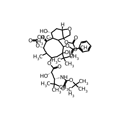 COC(=O)O[C@]12CO[C@H]1C[C@@H](O)[C@]1(C)C(=O)[C@@H](OC(C)=O)C(C)[C@H](OC(=O)[C@@H](O)[C@H](NC(=O)OC(C)(C)C)C(C)(C)C)C[C@@](O)(C(C)(C)C)[C@H](OC(=O)c3ccccc3)C21